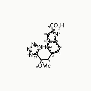 COC(Cc1ccc2nc(C(=O)O)cn2c1)c1nnn[nH]1